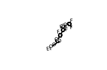 CCOCOCC1COC(c2ccc(-c3cc(F)c(C(F)(F)Oc4cc(F)cc(F)c4)c(F)c3)c(F)c2)OC1